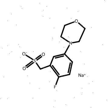 O=S(=O)([O-])Cc1cc(N2CCOCC2)ccc1F.[Na+]